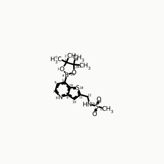 CC1(C)OB(c2ccnc3cc(CNS(C)(=O)=O)sc23)OC1(C)C